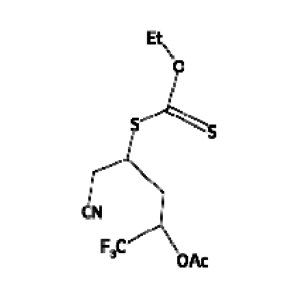 CCOC(=S)SC(CC#N)CC(OC(C)=O)C(F)(F)F